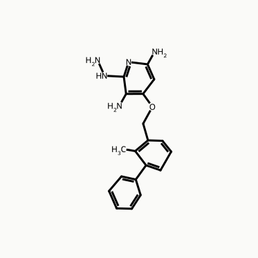 Cc1c(COc2cc(N)nc(NN)c2N)cccc1-c1ccccc1